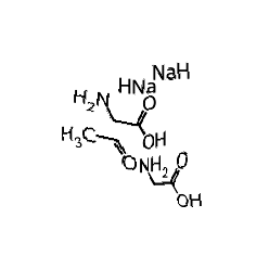 CC=O.NCC(=O)O.NCC(=O)O.[NaH].[NaH]